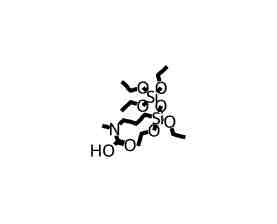 CCO[Si](CCCN(C)C(=O)O)(OCC)O[Si](OCC)(OCC)OCC